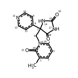 Cc1cccn(CC2(c3ccncc3)NC(=O)NC2=O)c1=O